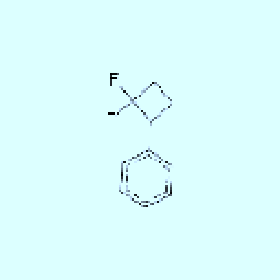 FC1(F)CCC1c1ccccc1